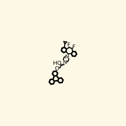 O[C@H](COc1ccc2c3ccccc3c3ccccc3c2c1)CN1CCN(C2c3ccccc3C(F)C(F)c3c(C4CC4)cccc32)CC1